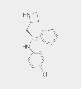 Clc1ccc(N[C@@H](CC2CCN2)c2ccccc2)cc1